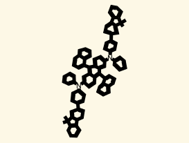 CC1(C)C2=CC(c3ccc(N(c4ccccc4)c4ccc5c(-c6cccc7ccccc67)c6cc(N(c7ccccc7)c7ccc(-c8ccc9c(c8)C(C)(C)c8ccccc8-9)cc7)ccc6c(-c6cccc7ccccc67)c5c4)cc3)=CCC2C2=C1CCC=C2